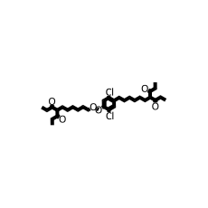 CCC(=O)C(CCCCCCOOc1cc(Cl)c(CCCCCCC(C(=O)CC)C(=O)CC)cc1Cl)C(=O)CC